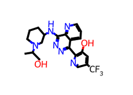 CC(CO)N1CCCC(Nc2nnc(-c3ncc(C(F)(F)F)cc3O)c3cccnc23)C1